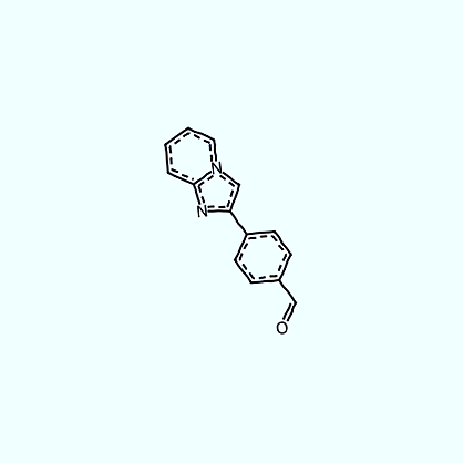 O=Cc1ccc(-c2cn3ccccc3n2)cc1